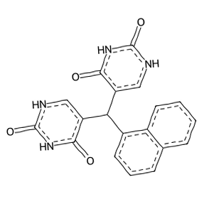 O=c1[nH]cc(C(c2c[nH]c(=O)[nH]c2=O)c2cccc3ccccc23)c(=O)[nH]1